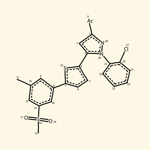 CC(=O)c1cc(-c2ccc(-c3cc(C)cc(S(C)(=O)=O)c3)s2)n(-c2ccccc2Cl)n1